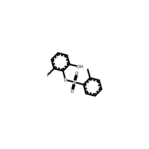 Cc1ccccc1S(=O)(=O)Oc1c(O)cccc1I